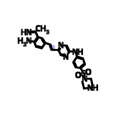 CC(=N)c1cc(/C=C/c2cnc(Nc3ccc(S(=O)(=O)N4CCNCC4)cc3)cn2)ccc1N